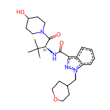 CC(C)(C)[C@H](NC(=O)c1nn(CC2CCOCC2)c2ccccc12)C(=O)N1CCC(O)CC1